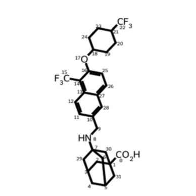 O=C(O)C12CC3CC(CC(NCc4ccc5c(C(F)(F)F)c(OC6CCC(C(F)(F)F)CC6)ccc5c4)(C3)C1)C2